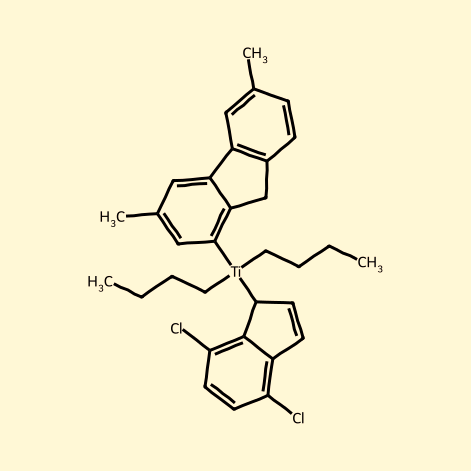 CCC[CH2][Ti]([CH2]CCC)([c]1cc(C)cc2c1Cc1ccc(C)cc1-2)[CH]1C=Cc2c(Cl)ccc(Cl)c21